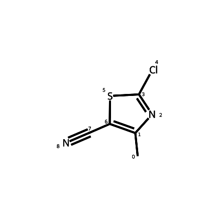 Cc1nc(Cl)sc1C#N